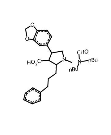 CCCCN(C=O)CCCC.CN1CC(c2ccc3c(c2)OCO3)C(C(=O)O)C1CCCc1ccccc1